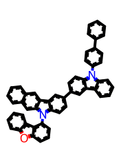 c1ccc(-c2ccc(-n3c4ccccc4c4cc(-c5ccc6c(c5)c5cc7ccccc7cc5n6-c5cccc6oc7ccccc7c56)ccc43)cc2)cc1